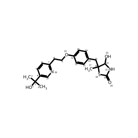 CC(C)(O)c1ccc(CCOc2ccc(CC3(C)SC(=O)NC3O)cc2)nc1